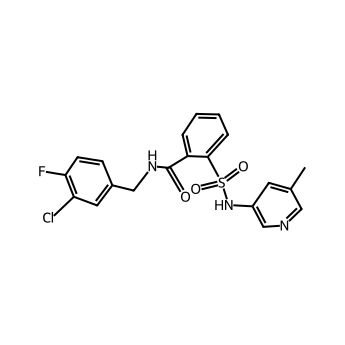 Cc1cncc(NS(=O)(=O)c2ccccc2C(=O)NCc2ccc(F)c(Cl)c2)c1